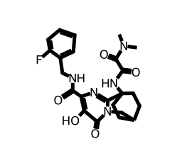 CN(C)C(=O)C(=O)NC12CCC(CC1)Cn1c2nc(C(=O)NCc2ccccc2F)c(O)c1=O